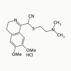 COc1cc2c(cc1OC)C(C(C#N)SCCN(C)C)=NCC2.Cl